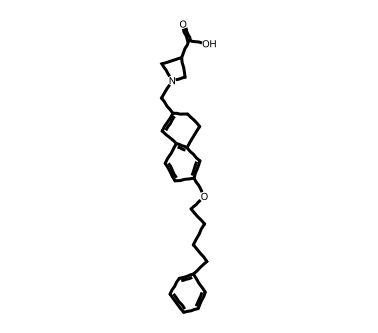 O=C(O)C1CN(CC2=Cc3ccc(OCCCCc4ccccc4)cc3CC2)C1